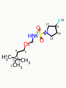 C[Si](C)(C)CCOCNS(=O)(=O)N1CCC(F)C1